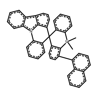 C[Si]1(C)c2ccccc2C2(c3ccccc3-n3c4ccccc4c4cccc2c43)c2cccc(-c3cccc4ccccc34)c21